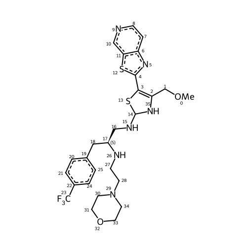 COCC1=C(c2nc3ccncc3s2)SC(NC[C@H](Cc2ccc(C(F)(F)F)cc2)NCCN2CCOCC2)N1